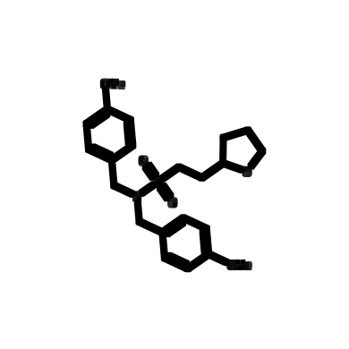 COc1ccc(CN(Cc2ccc(OC)cc2)S(=O)(=O)CCC2CCCO2)cc1